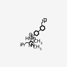 Cc1c(NS(=O)(=O)c2ccc(-c3cccc(CN4CCC4)c3)cc2)c(CC(C)C)nn1C